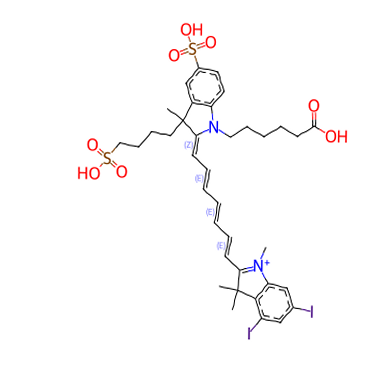 C[N+]1=C(/C=C/C=C/C=C/C=C2\N(CCCCCC(=O)O)c3ccc(S(=O)(=O)O)cc3C2(C)CCCCS(=O)(=O)O)C(C)(C)c2c(I)cc(I)cc21